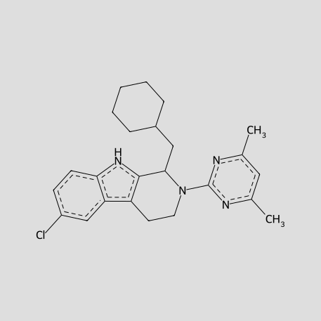 Cc1cc(C)nc(N2CCc3c([nH]c4ccc(Cl)cc34)C2CC2CCCCC2)n1